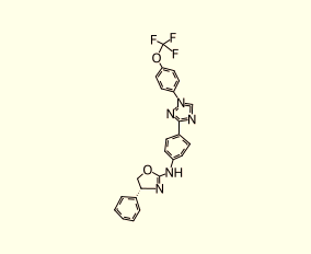 FC(F)(F)Oc1ccc(-n2cnc(-c3ccc(NC4=N[C@H](c5ccccc5)CO4)cc3)n2)cc1